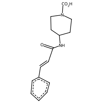 O=C(/C=C/c1ccccc1)NC1CCN(C(=O)O)CC1